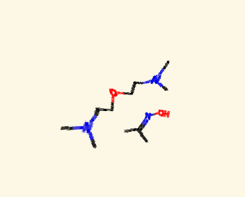 CC(C)=NO.CN(C)CCOCCN(C)C